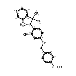 CCOC(=O)c1ccc(COc2ccc(C(C)C(O)(c3ccncc3)C(F)(F)F)c(Cl)c2)cc1